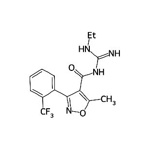 CCNC(=N)NC(=O)c1c(-c2ccccc2C(F)(F)F)noc1C